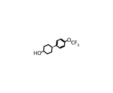 O[C@H]1CC[C@@H](c2ccc(OC(F)(F)F)cc2)CC1